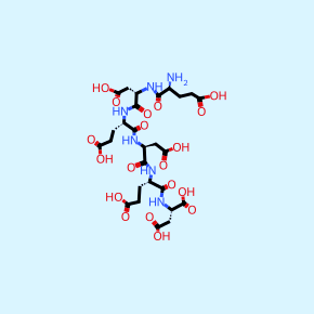 N[C@@H](CCC(=O)O)C(=O)N[C@@H](CC(=O)O)C(=O)N[C@@H](CCC(=O)O)C(=O)N[C@@H](CC(=O)O)C(=O)N[C@@H](CCC(=O)O)C(=O)N[C@@H](CC(=O)O)C(=O)O